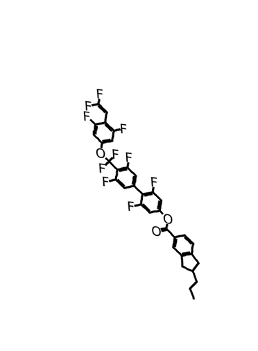 CCCC1Cc2ccc(C(=O)Oc3cc(F)c(-c4cc(F)c(C(F)(F)Oc5cc(F)c(C=C(F)F)c(F)c5)c(F)c4)c(F)c3)cc2C1